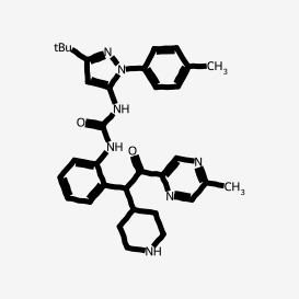 Cc1ccc(-n2nc(C(C)(C)C)cc2NC(=O)Nc2ccccc2C(C(=O)c2cnc(C)cn2)C2CCNCC2)cc1